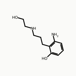 Nc1cccc(O)c1CCCNCCO